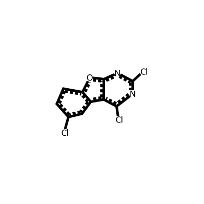 Clc1ccc2oc3nc(Cl)nc(Cl)c3c2c1